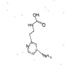 Nc1ccnc(CCNC(=O)O)c1